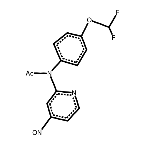 CC(=O)N(c1ccc(OC(F)F)cc1)c1cc(N=O)ccn1